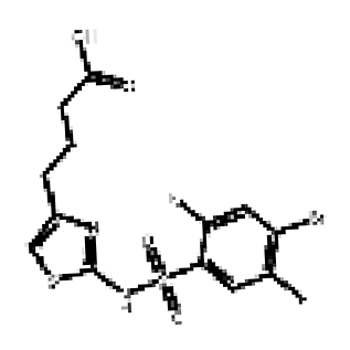 O=C(O)CCCc1csc(NS(=O)(=O)c2cc(F)c(Br)cc2F)n1